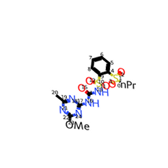 CCCS(=O)(=O)c1ccccc1S(=O)(=O)NC(=O)Nc1nc(C)nc(OC)n1